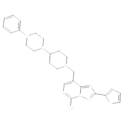 Nc1ncc(CN2CCC(N3CCN(c4ccccc4)CC3)CC2)c2nc(-c3ccco3)nn12